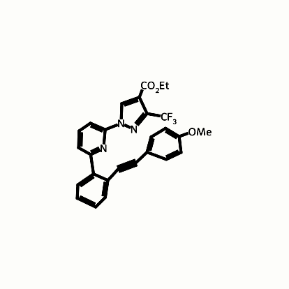 CCOC(=O)c1cn(-c2cccc(-c3ccccc3C#Cc3ccc(OC)cc3)n2)nc1C(F)(F)F